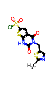 Cc1ncc(Cn2c(=O)[nH]c3sc(S(=O)(=O)Cl)cc3c2=O)s1